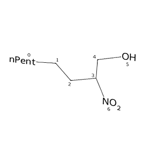 CCCCCCCC(CO)[N+](=O)[O-]